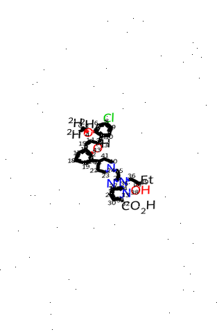 [2H]C([2H])([2H])Oc1cc(Cl)ccc1[C@@]1([2H])C=Cc2cccc(C3CCN(Cc4nc5ccc(C(=O)O)nc5n4C[C@@H](O)CC)CC3)c2O1